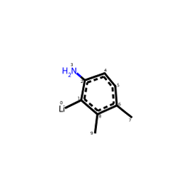 [Li][c]1c(N)ccc(C)c1C